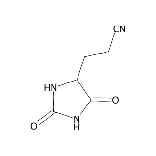 N#CCCC1NC(=O)NC1=O